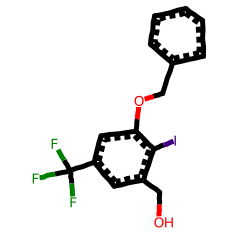 OCc1cc(C(F)(F)F)cc(OCc2ccccc2)c1I